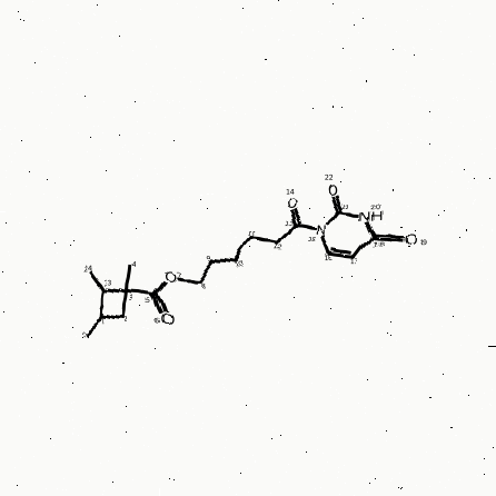 CC1CC(C)(C(=O)OCCCCCC(=O)n2ccc(=O)[nH]c2=O)C1C